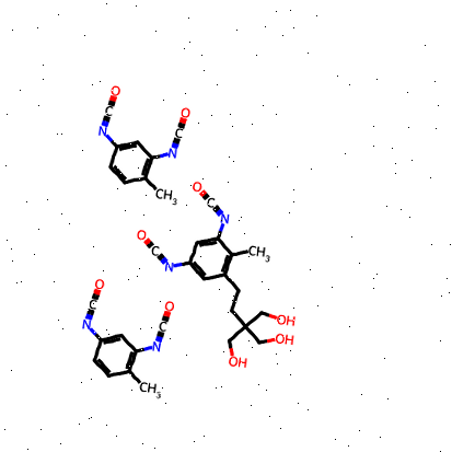 Cc1c(CCC(CO)(CO)CO)cc(N=C=O)cc1N=C=O.Cc1ccc(N=C=O)cc1N=C=O.Cc1ccc(N=C=O)cc1N=C=O